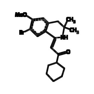 COc1cc2c(cc1Br)C(=CC(=O)C1CCCCC1)NC(C)(C)C2